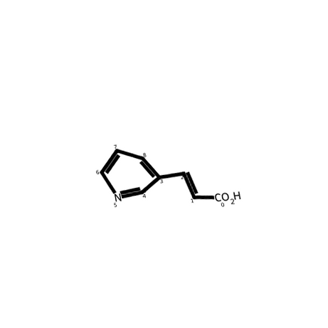 O=C(O)C=Cc1[c]nccc1